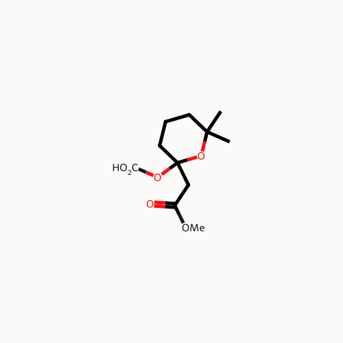 COC(=O)CC1(OC(=O)O)CCCC(C)(C)O1